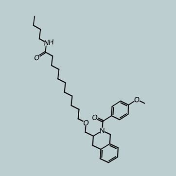 CCCCNC(=O)CCCCCCCCCCOCC1Cc2ccccc2CN1C(=O)c1ccc(OC)cc1